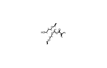 C=COCCCO.C=COCCOC(C)OC(=O)C(=C)C